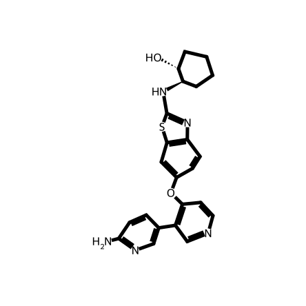 Nc1ccc(-c2cnccc2Oc2ccc3nc(N[C@@H]4CCCC[C@H]4O)sc3c2)cn1